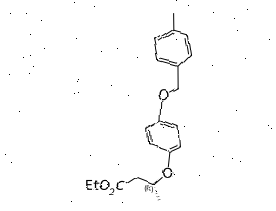 CCOC(=O)C[C@@H](C)Oc1ccc(OCc2ccc(C)cc2)cc1